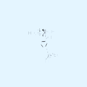 CCOP(=O)(COc1cccc(C(C)N(OB(C)O)B(C)O)c1)OCC